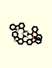 c1ccc2c(c1)cc(-c1nc(-c3cccc4c3oc3ccccc34)nc(-c3c(-c4ccc5c(c4)sc4ccccc45)ccc4oc5ccccc5c34)n1)c1ccccc12